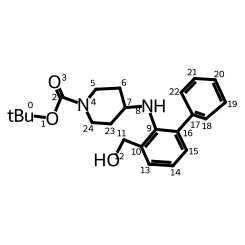 CC(C)(C)OC(=O)N1CCC(Nc2c(CO)cccc2-c2ccccc2)CC1